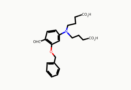 O=Cc1ccc(N(CCCC(=O)O)CCCC(=O)O)cc1OCc1ccccc1